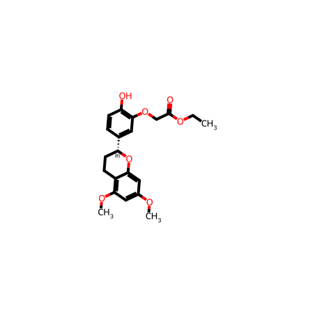 CCOC(=O)COc1cc([C@H]2CCc3c(OC)cc(OC)cc3O2)ccc1O